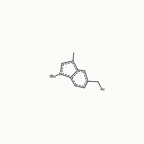 CC(=O)Cc1ccc2c(c1)c(C)cn2C(C)(C)C